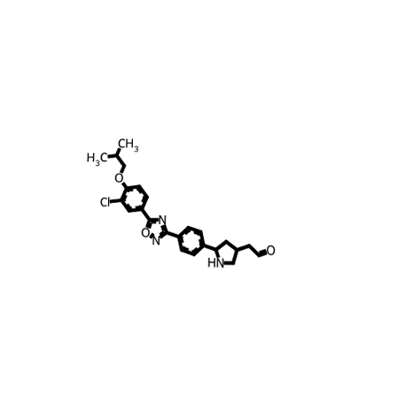 CC(C)COc1ccc(-c2nc(-c3ccc(C4CC(CC=O)CN4)cc3)no2)cc1Cl